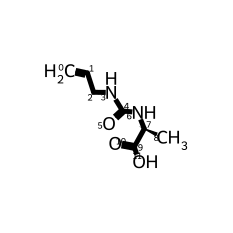 C=CCNC(=O)N[C@@H](C)C(=O)O